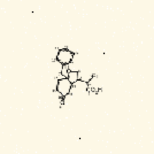 CCC(C(=O)O)C1COC2(Cc3ccccc3)C=CC(=O)CC12